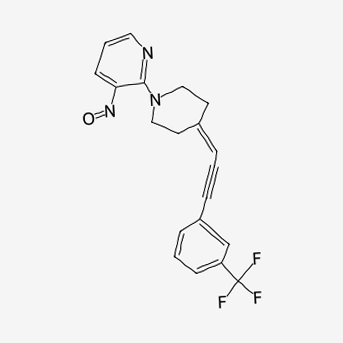 O=Nc1cccnc1N1CCC(=CC#Cc2cccc(C(F)(F)F)c2)CC1